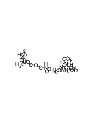 C#Cc1c(F)ccc2cccc(-c3ncc4c(N5CCC[C@@](C)(O)C5)nc(OC[C@@]56CCCN5[C@H](COC(=O)NCCOCCOCCOc5ccc7c(c5)n(C)c(=O)n7C5CCC(=O)NC5=O)CC6)nc4c3F)c12